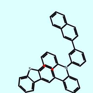 c1ccc(N(c2cccc(-c3ccc4ccccc4c3)c2)c2ccccc2-c2ccc3sc4ccccc4c3c2)cc1